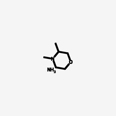 CC1COCCN1C.N